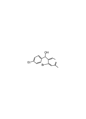 C=C(C)/C=C(Br)\C(=C/C)C(O)c1ccc(CC)cc1